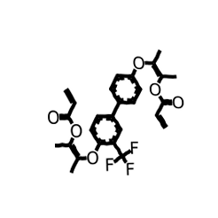 C=CC(=O)OC(C)=C(C)Oc1ccc(-c2ccc(OC(C)=C(C)OC(=O)C=C)c(C(F)(F)F)c2)cc1